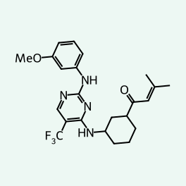 COc1cccc(Nc2ncc(C(F)(F)F)c(NC3CCCC(C(=O)C=C(C)C)C3)n2)c1